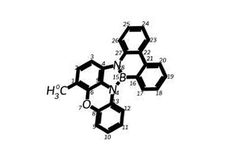 Cc1ccc2c3c1Oc1ccccc1N3B1c3ccccc3-c3ccccc3N12